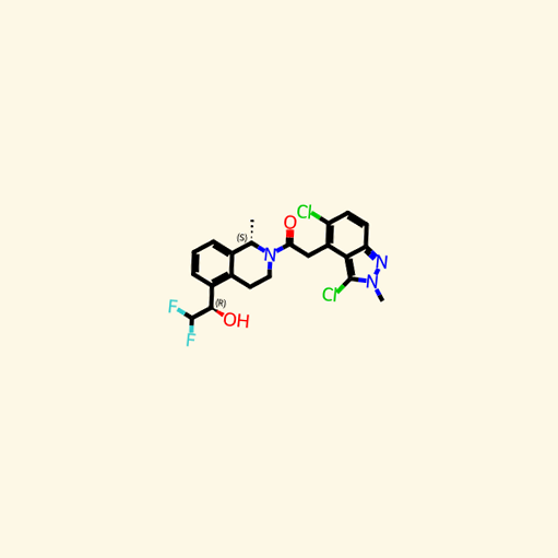 C[C@H]1c2cccc([C@@H](O)C(F)F)c2CCN1C(=O)Cc1c(Cl)ccc2nn(C)c(Cl)c12